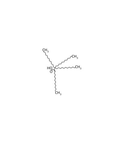 CCCCCCCCCCCCC=C(C(=O)O)C(CCCCCCCCCCCC)(CCCCCCCCCCCC)CCCCCCCCCCCC